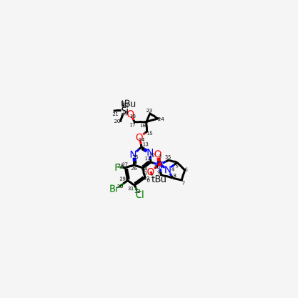 CC(C)(C)OC(=O)N1C2CCC1CN(c1nc(OCC3(CO[Si](C)(C)C(C)(C)C)CC3)nc3c(F)c(Br)c(Cl)cc13)C2